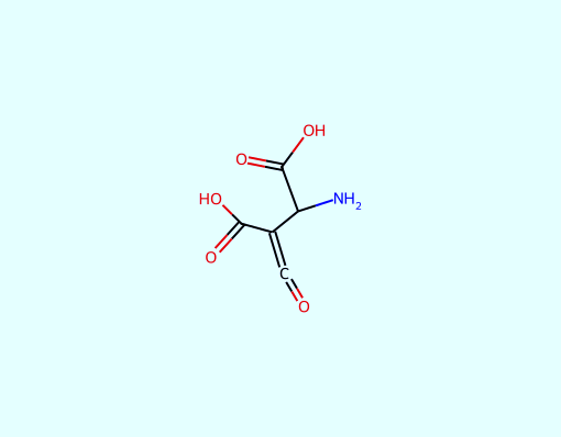 NC(C(=O)O)C(=C=O)C(=O)O